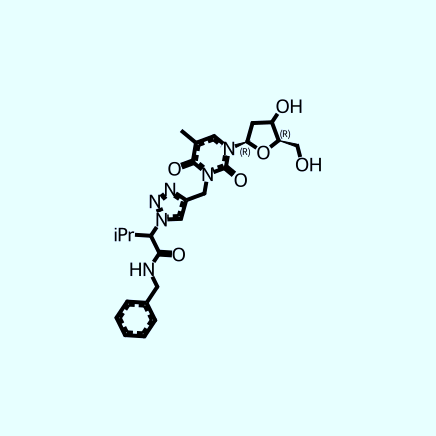 Cc1cn([C@H]2CC(O)[C@@H](CO)O2)c(=O)n(Cc2cn(C(C(=O)NCc3ccccc3)C(C)C)nn2)c1=O